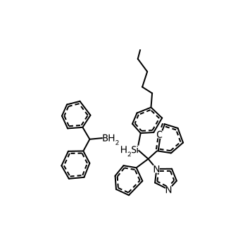 BC(c1ccccc1)c1ccccc1.CCCCCc1ccc([SiH2]C(c2ccccc2)(c2ccccc2)n2ccnc2)cc1